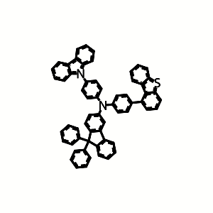 c1ccc(C2(c3ccccc3)c3ccccc3-c3cc(N(c4ccc(-c5cccc6sc7ccccc7c56)cc4)c4ccc(-n5c6ccccc6c6ccccc65)cc4)ccc32)cc1